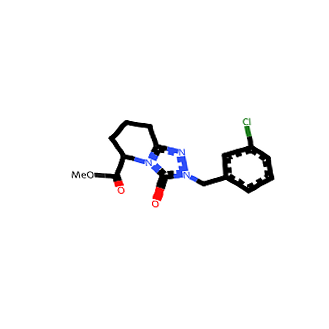 COC(=O)C1CCCc2nn(Cc3cccc(Cl)c3)c(=O)n21